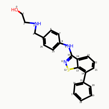 OCCNCc1ccc(Nc2nsc3c(-c4ccccc4)cccc23)cc1